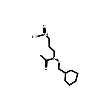 CC(=O)N(CCC[PH](=O)O)OCC1CCCCC1